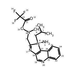 CC(C)C[N+]1(N)C(CN(C)OC(=O)C(F)(F)F)=Nc2cnc3ccccc3c21